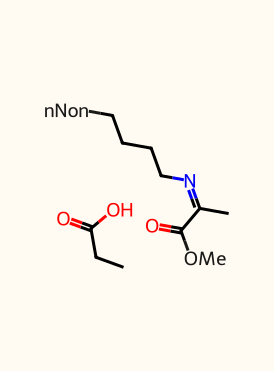 CCC(=O)O.CCCCCCCCCCCCCN=C(C)C(=O)OC